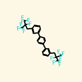 FC(F)(F)C(F)(Cc1cccc(-c2ccc(-c3cccc(CC(F)(C(F)(F)F)C(F)(F)F)c3)cc2)c1)C(F)(F)F